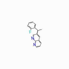 CC(c1cnc2ncccc2c1)c1ccccc1F